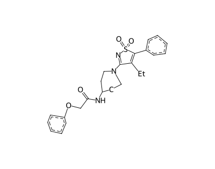 CCC1=C(c2ccccc2)S(=O)(=O)N=C1N1CCC(NC(=O)COc2ccccc2)CC1